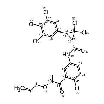 C=CCONC(=O)c1cc(NC(=O)[C@@H]2[C@@H](c3cc(Cl)c(Cl)c(Cl)c3)C2(Cl)Cl)ccc1Cl